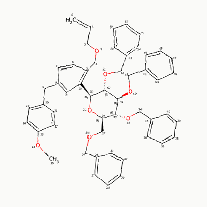 C=CCOCc1ccc(Cc2ccc(OC)cc2)cc1[C@@H]1O[C@H](COCc2ccccc2)[C@@H](OCc2ccccc2)[C@H](OCc2ccccc2)[C@H]1OCc1ccccc1